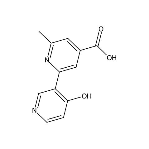 Cc1cc(C(=O)O)cc(-c2cnccc2O)n1